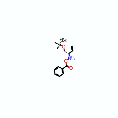 C=C[C@@H](CO[Si](C)(C)C(C)(C)C)NOC(=O)c1ccccc1